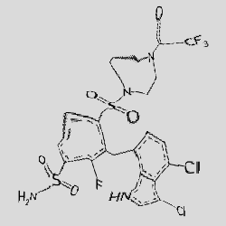 NS(=O)(=O)c1ccc(S(=O)(=O)N2CCN(C(=O)C(F)(F)F)CC2)c(-c2ccc(Cl)c3c(Cl)c[nH]c23)c1F